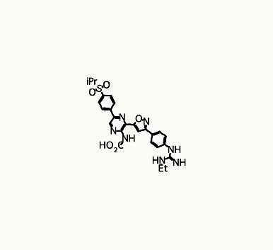 CCNC(=N)Nc1ccc(-c2cc(-c3nc(-c4ccc(S(=O)(=O)C(C)C)cc4)cnc3NC(=O)O)on2)cc1